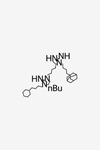 CCCC[C@H]1CN(CCCC[C@H]2CNC(=N)N2CCCCC23CC4CC(CC(C4)C2)C3)C(=N)N1CCCCC1CCCCC1